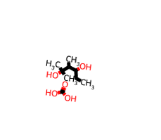 CCC(O)C(C)C(C)(C)O.O=C(O)O